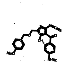 COc1ccc(COCc2sc(N=C=S)c(C(=O)c3ccc(NC(C)=O)cc3)c2C)cc1